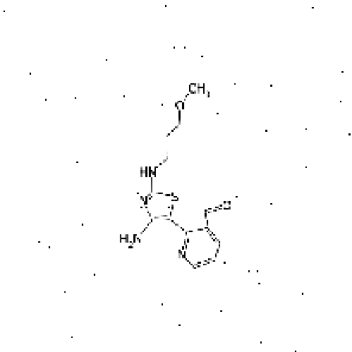 COCCCNc1nc(N)c(-c2ncccc2C=O)s1